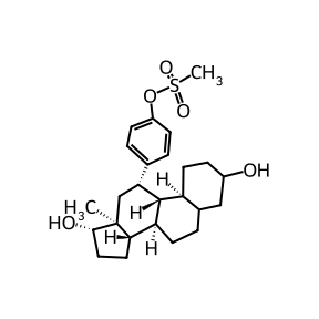 C[C@]12C[C@H](c3ccc(OS(C)(=O)=O)cc3)[C@H]3[C@@H](CCC4CC(O)CC[C@@H]43)[C@@H]1CC[C@@H]2O